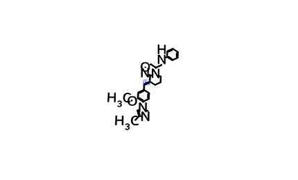 COc1cc(/C=C2\CCCN3C2=NOCC3CNc2ccccc2)ccc1-n1cnc(C)c1